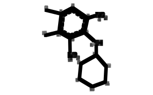 Cc1cc([N+](=O)[O-])c(NC2CCCCC2)c([N+](=O)[O-])c1C